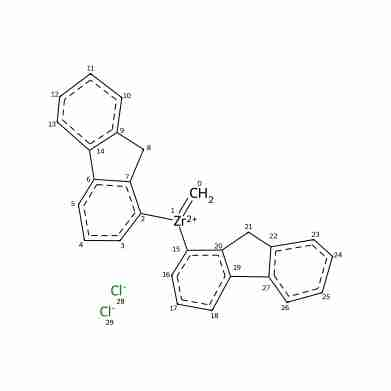 [CH2]=[Zr+2]([c]1cccc2c1Cc1ccccc1-2)[c]1cccc2c1Cc1ccccc1-2.[Cl-].[Cl-]